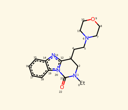 CCN1CC(CCN2CCOCC2)c2nc3ccccc3n2C1=O